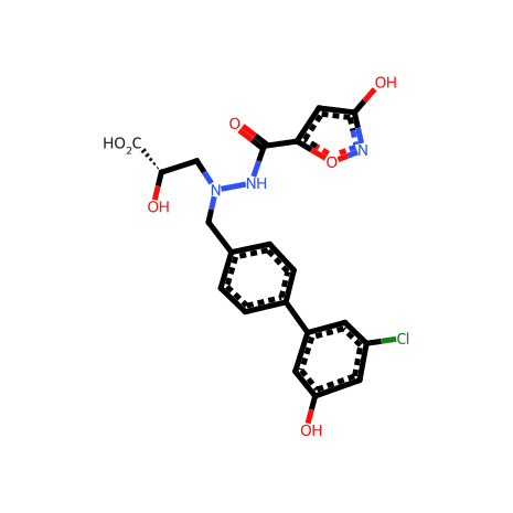 O=C(NN(Cc1ccc(-c2cc(O)cc(Cl)c2)cc1)C[C@H](O)C(=O)O)c1cc(O)no1